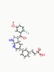 COc1ccc(F)c(C(=O)C2CNc3ncc(-c4cccc(/C=C/C(=O)O)c4)cc32)c1